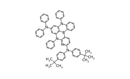 CC(C)(C)c1ccc(N(c2ccc(C(C)(C)C)cc2)c2ccc3c(n2)N(c2ccccc2)c2cc(N(c4ccccc4)c4ccccc4)cc4c2B3c2ccccc2N4c2ccccc2)cc1